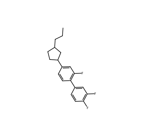 CCCC1CCC(c2ccc(-c3ccc(F)c(F)c3)c(F)c2)C1